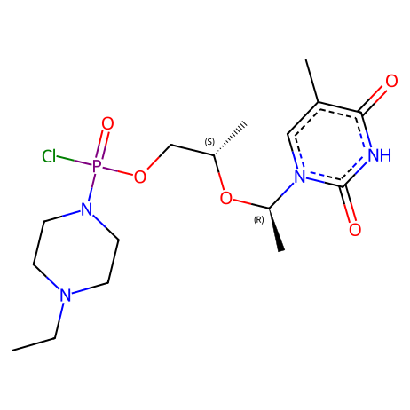 CCN1CCN(P(=O)(Cl)OC[C@H](C)O[C@H](C)n2cc(C)c(=O)[nH]c2=O)CC1